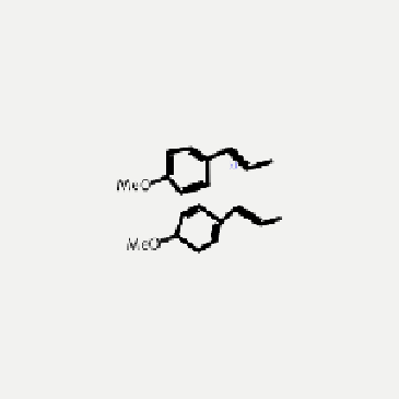 C/C=C/c1ccc(OC)cc1.CC=CC1=CCC(OC)C=C1